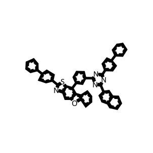 c1ccc(-c2ccc(-c3nc(-c4cccc(-c5c6sc(-c7ccc(-c8ccccc8)cc7)nc6cc6oc7ccccc7c56)c4)nc(-c4ccc5ccccc5c4)n3)cc2)cc1